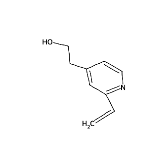 C=Cc1cc(CCO)ccn1